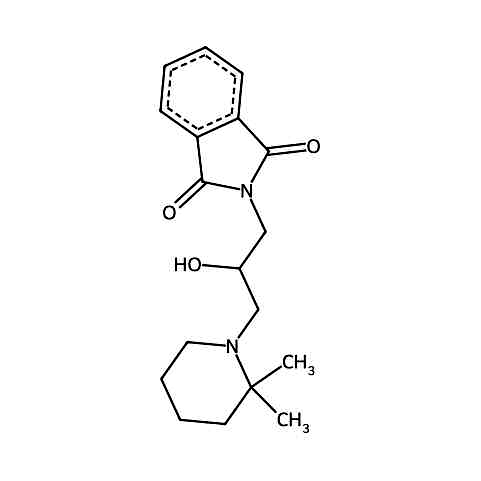 CC1(C)CCCCN1CC(O)CN1C(=O)c2ccccc2C1=O